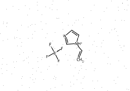 C=C[NH+]1C=CN=C1.F[B-](F)(F)F